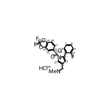 CNCc1cc(-c2ccccc2F)n(S(=O)(=O)c2ccc3c(c2)OC(F)(F)O3)c1.Cl